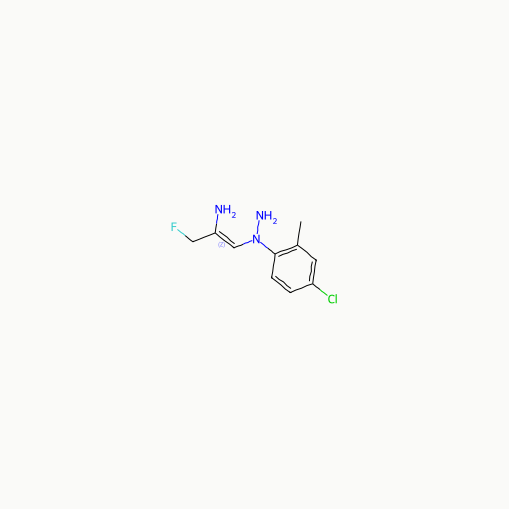 Cc1cc(Cl)ccc1N(N)/C=C(\N)CF